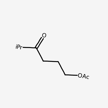 CC(=O)OCCCC(=O)C(C)C